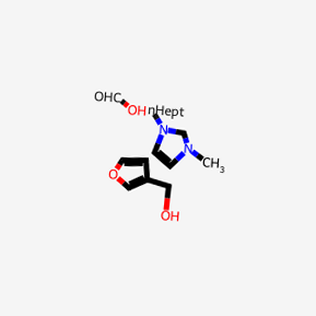 CCCCCCCN1C=CN(C)C1.O=CO.OCc1ccoc1